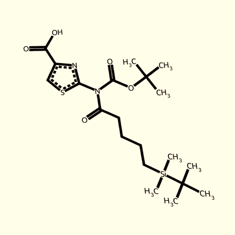 CC(C)(C)OC(=O)N(C(=O)CCCC[Si](C)(C)C(C)(C)C)c1nc(C(=O)O)cs1